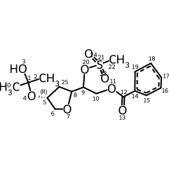 CC(C)(O)O[C@H]1COC(C(COC(=O)c2ccccc2)OS(C)(=O)=O)C1